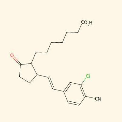 N#Cc1ccc(C=CC2CCC(=O)C2CCCCCCC(=O)O)cc1Cl